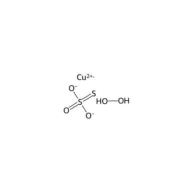 O=S([O-])([O-])=S.OO.[Cu+2]